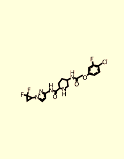 O=C(COc1ccc(Cl)c(F)c1)NC1CCC(C(=O)Nc2ccn(C3CC3(F)F)n2)NC1